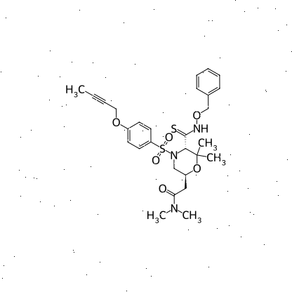 CC#CCOc1ccc(S(=O)(=O)N2C[C@H](CC(=O)N(C)C)OC(C)(C)[C@H]2C(=S)NOCc2ccccc2)cc1